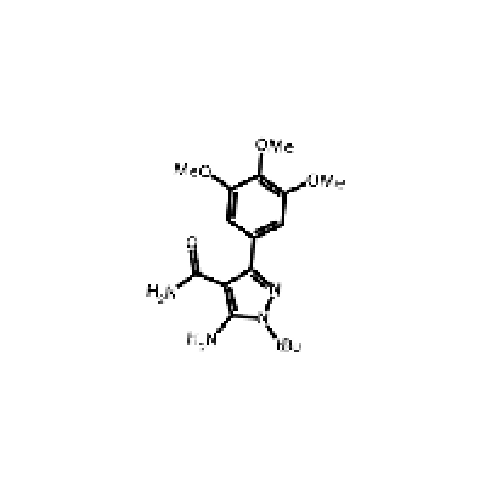 COc1cc(-c2nn(C(C)(C)C)c(N)c2C(N)=O)cc(OC)c1OC